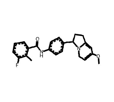 COC1=CCN2C(=C1)CCC2c1ccc(NC(=O)c2cccc(F)c2C)cc1